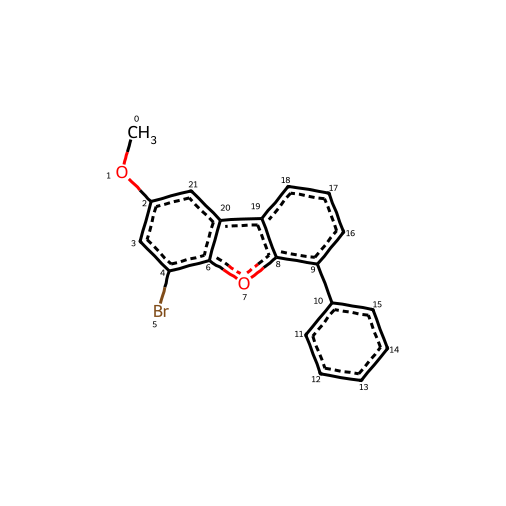 COc1cc(Br)c2oc3c(-c4ccccc4)cccc3c2c1